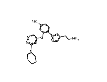 N#Cc1ccc(-n2cc(CCN)cn2)c(Sc2cnnc(N3CCCCC3)c2)c1